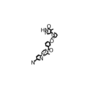 Cc1c(N2CCC[C@H]2COc2cccc(C(=O)N3CCN(c4ccc(C#N)cn4)CC3C)c2)cn[nH]c1=O